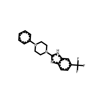 FC(F)(F)c1ccc2nc(N3CCN(c4ccccc4)CC3)[nH]c2c1